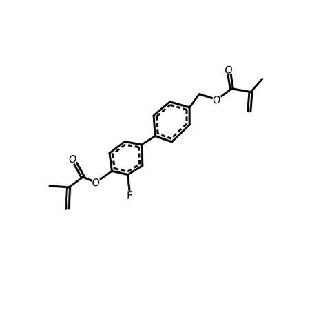 C=C(C)C(=O)OCc1ccc(-c2ccc(OC(=O)C(=C)C)c(F)c2)cc1